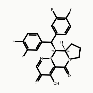 O=C1c2c(O)c(=O)cnn2[C@@H](C(c2ccc(F)c(F)c2)c2ccc(F)c(F)c2)[C@H]2CCCN12